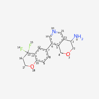 NC1COCc2c(-c3ccc4c(c3)C(F)(F)CCO4)cncc21